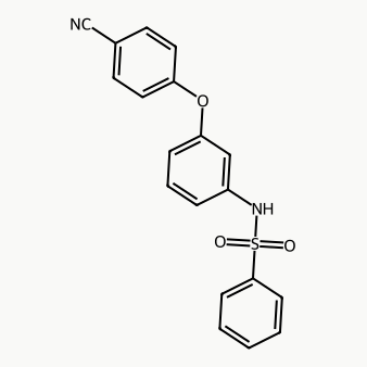 N#Cc1ccc(Oc2cccc(NS(=O)(=O)c3ccccc3)c2)cc1